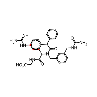 N=C(N)NCCC[C@H](C(=O)NCC(=O)O)N(Cc1cccc(CNC(N)=O)c1)C(=O)C(c1ccccc1)c1ccccc1